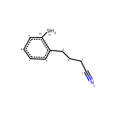 N#CCCCc1ccccc1[SiH3]